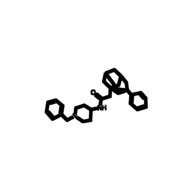 O=C(CC12CC3CC(C1)CC(c1ccccc1)(C3)C2)NC1CCN(Cc2ccccc2)CC1